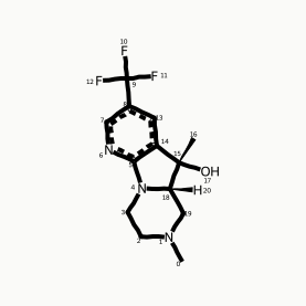 CN1CCN2c3ncc(C(F)(F)F)cc3[C@](C)(O)[C@@H]2C1